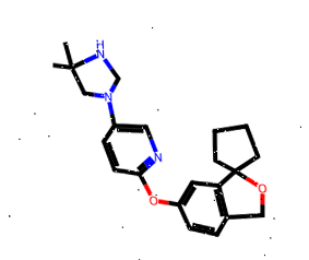 CC1(C)CN(c2ccc(Oc3ccc4c(c3)C3(CCCC3)OC4)nc2)CN1